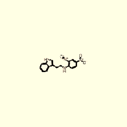 [C-]#[N+]c1cc([N+](=O)[O-])ccc1NCCc1c[nH]c2ccccc12